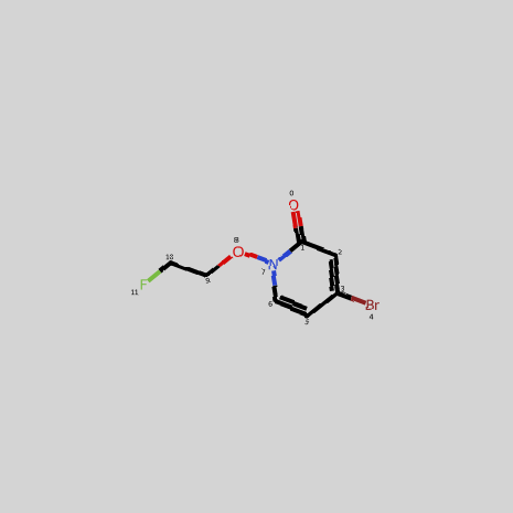 O=c1cc(Br)ccn1OCCF